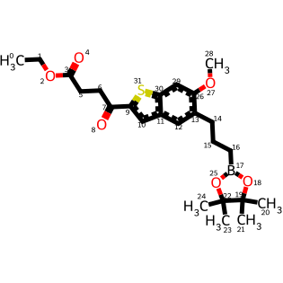 CCOC(=O)CCC(=O)c1cc2cc(CCCB3OC(C)(C)C(C)(C)O3)c(OC)cc2s1